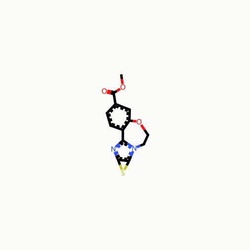 COC(=O)c1ccc2c(c1)OCCn1c-2nc2c1S2